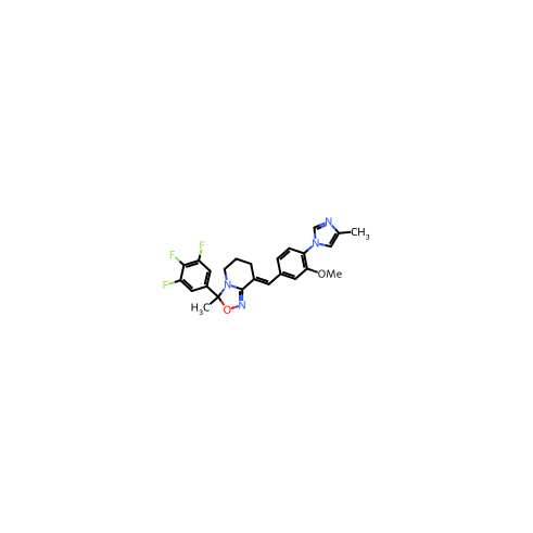 COc1cc(C=C2CCCN3C2=NOC3(C)c2cc(F)c(F)c(F)c2)ccc1-n1cnc(C)c1